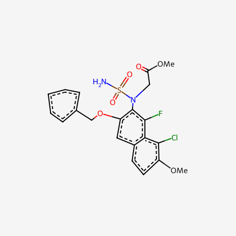 COC(=O)CN(c1c(OCc2ccccc2)cc2ccc(OC)c(Cl)c2c1F)S(N)(=O)=O